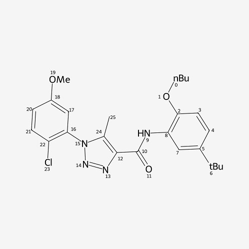 CCCCOc1ccc(C(C)(C)C)cc1NC(=O)c1nnn(-c2cc(OC)ccc2Cl)c1C